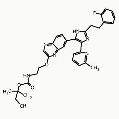 CCC(C)(C)OC(=O)NCCOc1cnc2ccc(-c3[nH]c(CCc4ccccc4F)nc3-c3cccc(C)n3)cc2n1